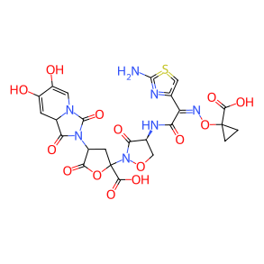 Nc1nc(/C(=N/OC2(C(=O)O)CC2)C(=O)N[C@H]2CON(C3(C(=O)O)CC(N4C(=O)C5C=C(O)C(O)=CN5C4=O)C(=O)O3)C2=O)cs1